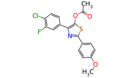 COc1ccc(-c2nc(-c3ccc(Cl)c(F)c3)c(OC(C)=O)s2)cc1